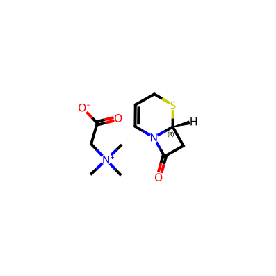 C[N+](C)(C)CC(=O)[O-].O=C1C[C@H]2SCC=CN12